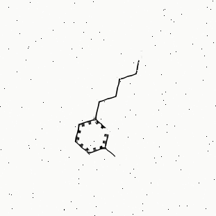 Clc1cccc(CCCCBr)n1